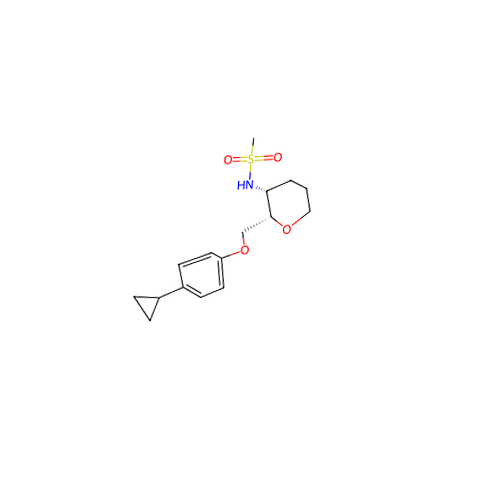 CS(=O)(=O)N[C@@H]1CCCO[C@@H]1COc1ccc(C2CC2)cc1